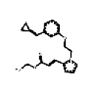 CCOC(=O)/C=C/c1cccn1CCOc1cccc(C=C2CC2)c1